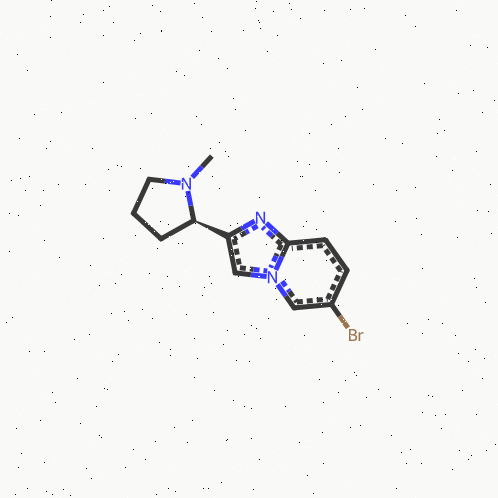 CN1CCC[C@@H]1c1cn2cc(Br)ccc2n1